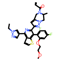 C=CC(=O)N1Cc2cc(-c3nc(-c4cnn(CC)c4)c4ccsc4c3-c3c(F)cc(F)cc3OCCOC)nn2CC1C